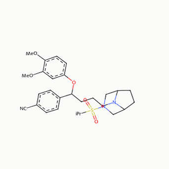 COc1ccc(OC(CCCN2C3CCC2CN(S(=O)(=O)C(C)C)C3)c2ccc(C#N)cc2)cc1OC